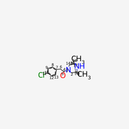 C[C@@H]1CN(C(=O)Cc2ccc(Cl)cc2)C[C@H](C)N1